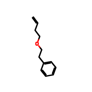 C=CCCOCCc1ccccc1